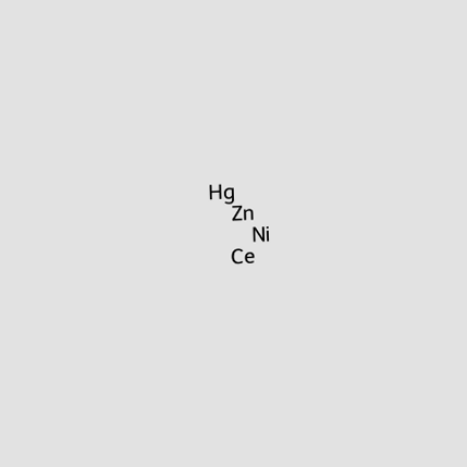 [Ce].[Hg].[Ni].[Zn]